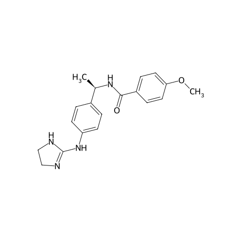 COc1ccc(C(=O)N[C@H](C)c2ccc(NC3=NCCN3)cc2)cc1